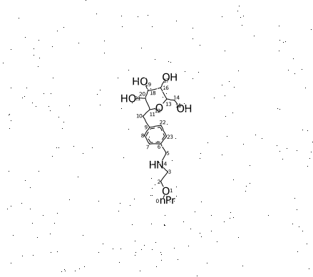 CCCOCCNCc1ccc(CC2OC(CO)C(O)C(O)C2O)cc1